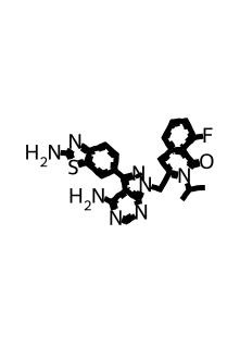 CC(C)n1c(Cn2nc(-c3ccc4nc(N)sc4c3)c3c(N)ncnc32)cc2cccc(F)c2c1=O